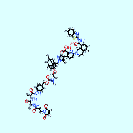 Cc1c(-c2ccc(N3CCc4cccc(C(O)Nc5nc6ccccc6s5)c4C3)nc2C(=O)O)cnn1CC12CC3(C)CC(C)(C1)CC(OCCN(C)C(=O)OCc1ccc(NC(=O)[C@H](C)NC(=O)[C@H](C)NC(=O)CCN4C(=O)C=CC4=O)cc1)(C3)C2